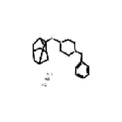 Cl.Cl.O.c1ccc(CN2CCN(NC3C4CC5CC(C4)CC3C5)CC2)cc1